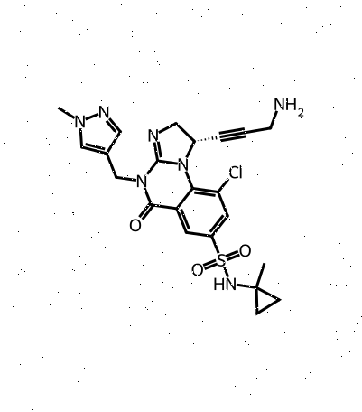 Cn1cc(CN2C(=O)c3cc(S(=O)(=O)NC4(C)CC4)cc(Cl)c3N3C2=NC[C@@H]3C#CCN)cn1